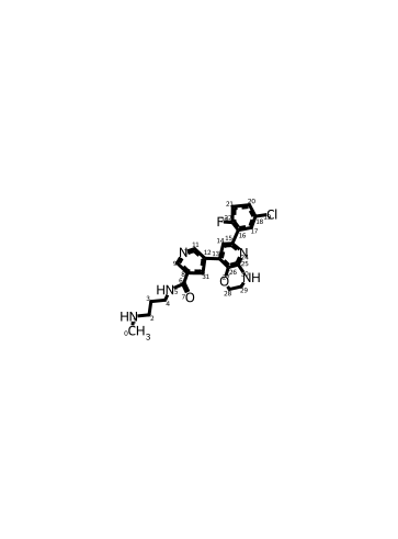 CNCCCNC(=O)c1cncc(-c2cc(-c3cc(Cl)ccc3F)nc3c2OCCN3)c1